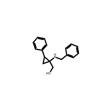 OCC1(NCc2ccccc2)CC1c1ccccc1